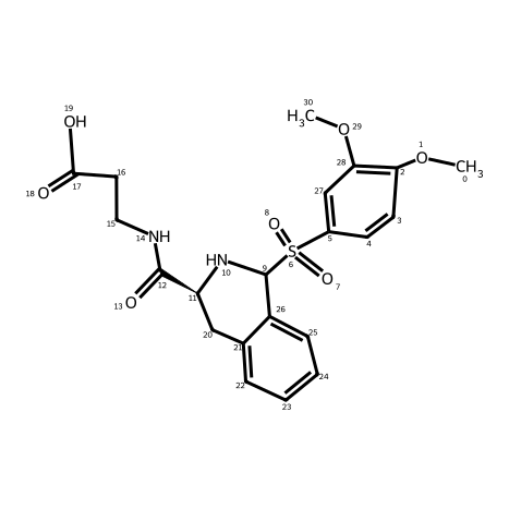 COc1ccc(S(=O)(=O)C2N[C@H](C(=O)NCCC(=O)O)Cc3ccccc32)cc1OC